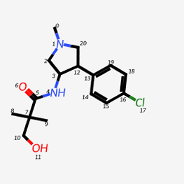 CN1CC(NC(=O)C(C)(C)CO)C(c2ccc(Cl)cc2)C1